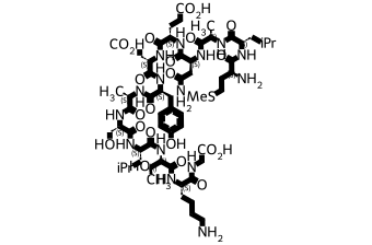 CSCC[C@H](N)C(=O)N[C@@H](CC(C)C)C(=O)N[C@@H](C)C(=O)N[C@@H](CC(N)=O)C(=O)N[C@@H](CCC(=O)O)C(=O)N[C@@H](CC(=O)O)C(=O)N[C@@H](Cc1ccc(O)cc1)C(=O)N[C@@H](C)C(=O)N[C@@H](CO)C(=O)N[C@@H](CC(C)C)C(=O)N[C@H](C(=O)N[C@@H](CCCCN)C(=O)NCC(=O)O)[C@@H](C)O